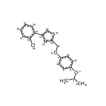 CC(C)Oc1ccc(OCc2nc(-c3ccccc3Cl)cs2)cc1